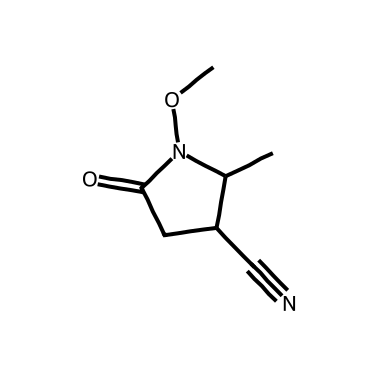 CON1C(=O)CC(C#N)C1C